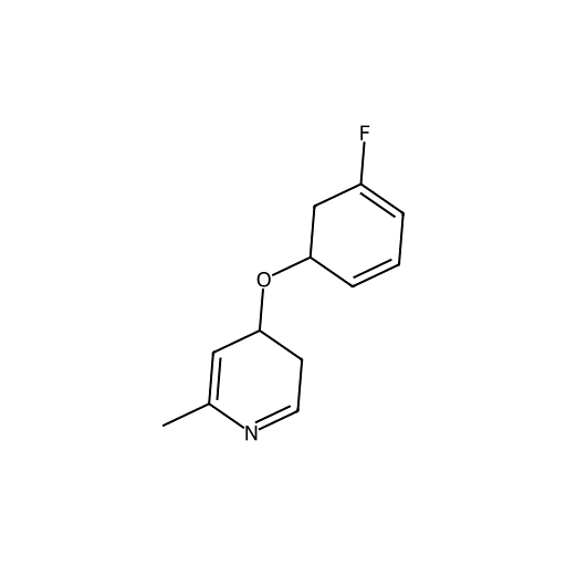 CC1=CC(OC2C=CC=C(F)C2)CC=N1